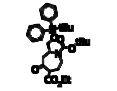 CCOC(=O)C1CCN(C(=O)OC(C)(C)C)[C@H](CO[Si](c2ccccc2)(c2ccccc2)C(C)(C)C)CC1=O